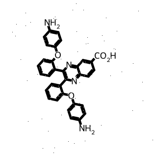 Nc1ccc(Oc2ccccc2-c2nc3ccc(C(=O)O)cc3nc2-c2ccccc2Oc2ccc(N)cc2)cc1